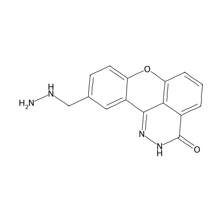 NNCc1ccc2c(c1)-c1n[nH]c(=O)c3cccc(c13)O2